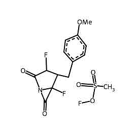 COc1ccc(CC2C(F)C(=O)N3C(=O)C23F)cc1.CS(=O)(=O)OF